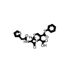 O=C(Cc1cccs1)NC1C(=O)N2C(C(=O)O)C(C(=O)Sc3ccccc3)=CS[C@@H]12